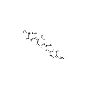 CCCCCCCCc1ccc(OC(=O)c2ccc(-c3ccc(CC)cc3)cc2)cc1